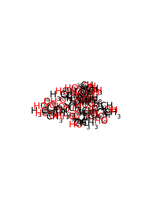 CC1(O)[C@@H](OCC2(C)O[C@@H](O)C(C)(O)[C@](C)(O)[C@]2(C)O)OC(C)(CO)[C@@](C)(O)[C@H]1COC[C@@H]1OC(C)(CO)[C@@](C)(O)[C@@H](COC[C@@H]2OC(C)(CO)[C@@](C)(O)[C@@H](COC[C@@H]3OC(C)(CO)[C@@](C)(O)[C@@H](COC[C@@H]4OC(C)(CO)[C@@](C)(O)[C@@](C)(O)C4(C)O)C3(C)O)C2(C)O)C1(C)O